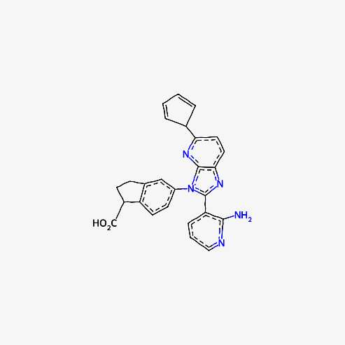 Nc1ncccc1-c1nc2ccc(C3C=CC=C3)nc2n1-c1ccc2c(c1)CCC2C(=O)O